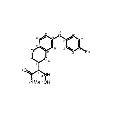 CNC(=O)C(NO)C1COc2ccc(Oc3ccc(F)cc3)cc2O1